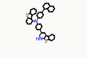 C1=C(c2ccc(N(c3ccc(-c4cccc5ccccc45)cc3)c3cccc4sc5ccccc5c34)cc2)CNc2sc3ccccc3c21